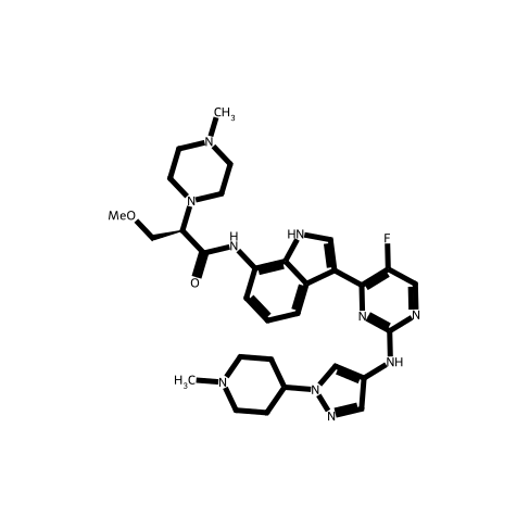 COC[C@H](C(=O)Nc1cccc2c(-c3nc(Nc4cnn(C5CCN(C)CC5)c4)ncc3F)c[nH]c12)N1CCN(C)CC1